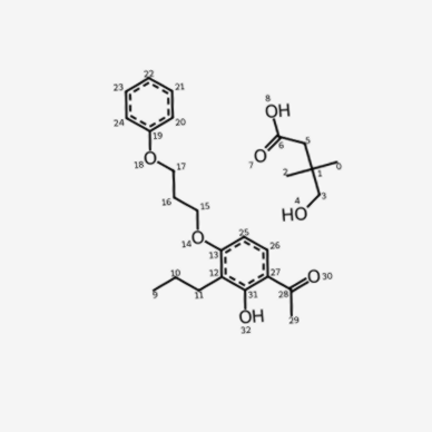 CC(C)(CO)CC(=O)O.CCCc1c(OCCCOc2ccccc2)ccc(C(C)=O)c1O